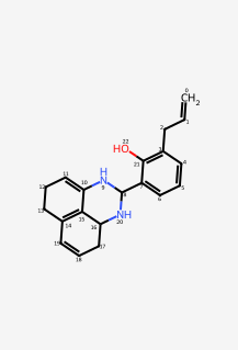 C=CCc1cccc(C2NC3=CCCC4=C3C(CC=C4)N2)c1O